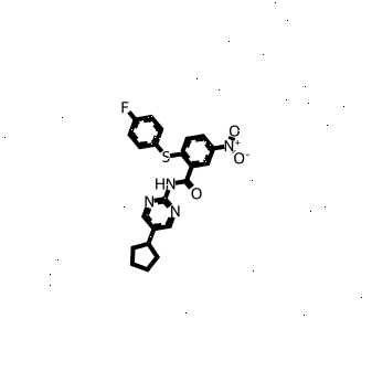 O=C(Nc1ncc(C2CCCC2)cn1)c1cc([N+](=O)[O-])ccc1Sc1ccc(F)cc1